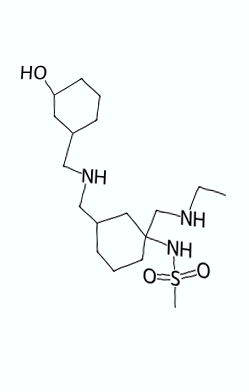 CCNCC1(NS(C)(=O)=O)CCCC(CNCC2CCCC(O)C2)C1